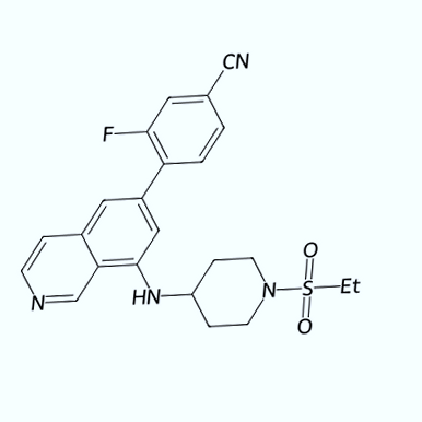 CCS(=O)(=O)N1CCC(Nc2cc(-c3ccc(C#N)cc3F)cc3ccncc23)CC1